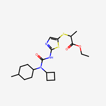 CCOC(=O)C(C)Sc1cnc(NC(=O)N(C2CCC2)C2CCC(C)CC2)s1